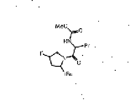 COC(=O)NC(C(=O)N1CC(F)CC1C(C)(C)C)C(C)C